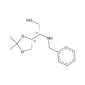 CC1(C)OC[C@@H]([C@H](CO)NCc2ccccc2)O1